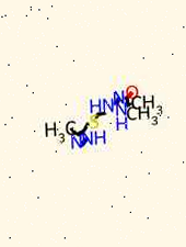 Cc1nc[nH]c1CSCCNC1=NC(=O)C(C)(C)N1